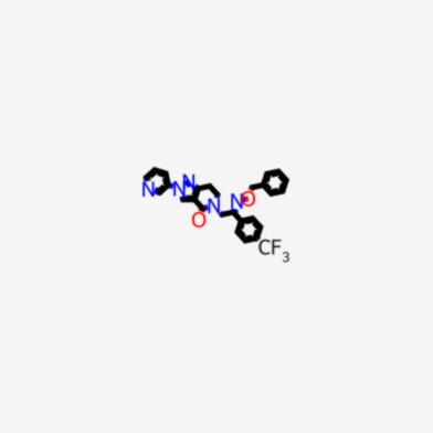 O=C1c2cn(-c3cccnc3)nc2CCN1CC(=NOCc1ccccc1)c1ccc(C(F)(F)F)cc1